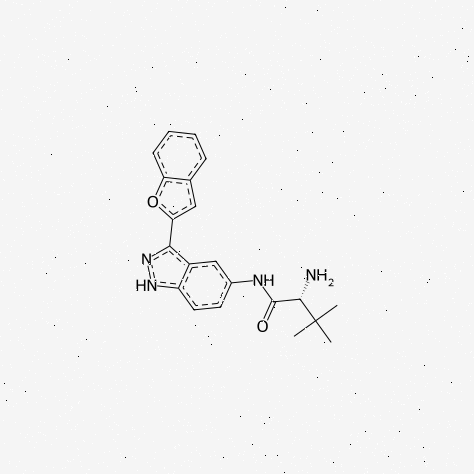 CC(C)(C)[C@@H](N)C(=O)Nc1ccc2[nH]nc(-c3cc4ccccc4o3)c2c1